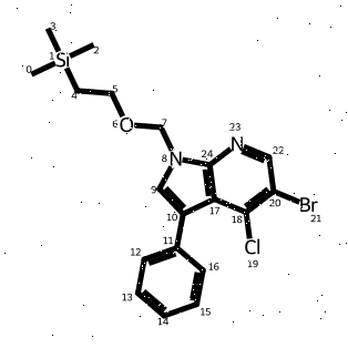 C[Si](C)(C)CCOCn1cc(-c2ccccc2)c2c(Cl)c(Br)cnc21